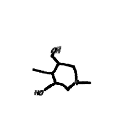 CC1C(O)CN(C)CC1O